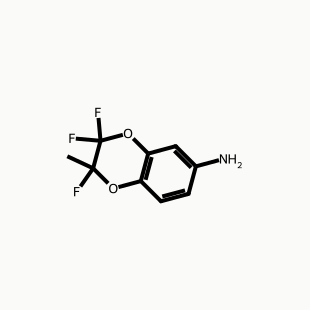 CC1(F)Oc2ccc(N)cc2OC1(F)F